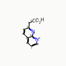 O=C(O)Cc1ccc2cccnc2n1